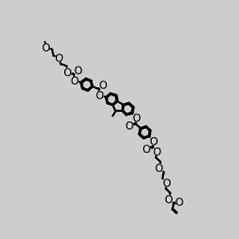 C=CC(=O)OCCOCCOCCOC(=O)Oc1ccc(C(=O)Oc2ccc3c(c2)C(C)c2cc(OC(=O)c4ccc(OC(=O)OCCOCCOC)cc4)ccc2-3)cc1